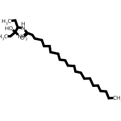 CCCCCCCCCCCCCCCCCCCCCC(=O)NC(CC)C(N)(O)CC